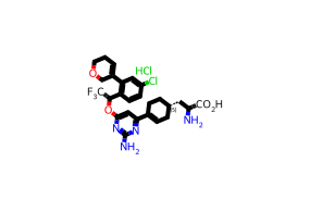 Cl.Nc1nc(OC(c2ccc(Cl)cc2C2=CCCOC2)C(F)(F)F)cc(C2=CC[C@@H](CC(N)C(=O)O)CC2)n1